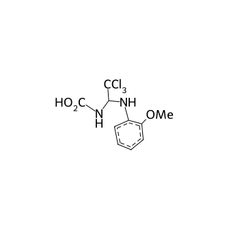 COc1ccccc1NC(NC(=O)O)C(Cl)(Cl)Cl